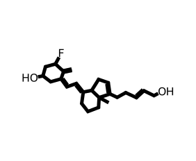 C=C1/C(=C\C=C2/CCCC3(C)C(CC/C=C/CO)=CCC23)CC(O)CC1F